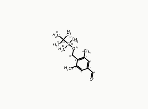 Cc1cc(C=O)cc(C)c1CO[Si](C)(C)C(C)(C)C